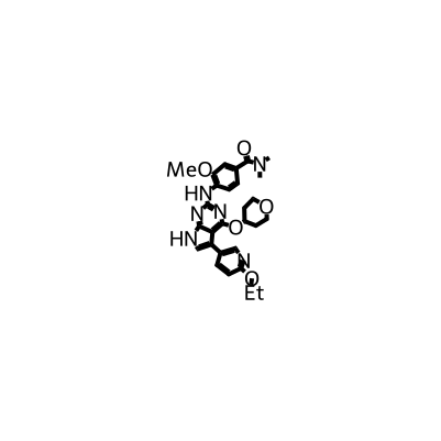 CCOc1ccc(-c2c[nH]c3nc(Nc4ccc(C(=O)N(C)C)cc4OC)nc(OC4CCOCC4)c23)cn1